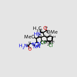 CCOC(=O)C1=C(C(OC)c2nnnn2CC(N)=O)NC(C)=C(C(=O)OC)C1c1cccc(Cl)c1Cl